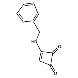 O=c1cc(NCc2ccccn2)c1=O